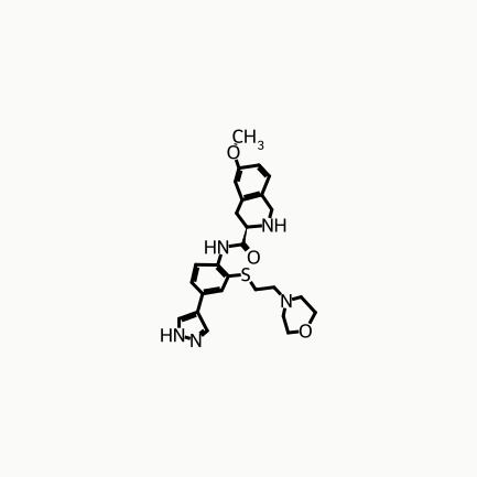 COc1ccc2c(c1)C[C@H](C(=O)Nc1ccc(-c3cn[nH]c3)cc1SCCN1CCOCC1)NC2